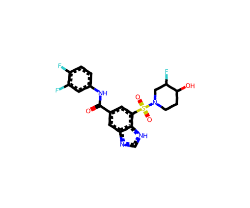 O=C(Nc1ccc(F)c(F)c1)c1cc(S(=O)(=O)N2CCC(O)C(F)C2)c2[nH]cnc2c1